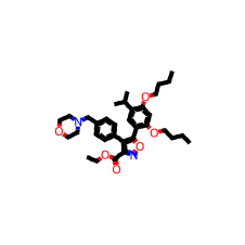 CCCCOc1cc(OCCCC)c(C(C)C)cc1-c1onc(C(=O)OCC)c1-c1ccc(CN2CCOCC2)cc1